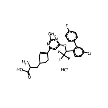 Cl.Nc1nc(OC(c2ccc(Cl)cc2-c2ccc(F)cc2)C(F)(F)F)cc(C2=CCC(CC(N)C(=O)O)CC2)n1